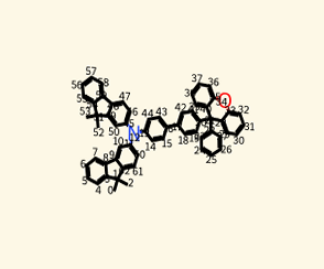 CC1(C)c2ccccc2-c2cc(N(c3ccc(-c4ccc(C5(c6ccccc6)c6ccccc6Oc6ccccc65)cc4)cc3)c3ccc4c(c3)C(C)(C)c3ccccc3-4)ccc21